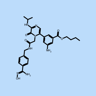 CCCCOC(=O)c1cc(N)cc(-c2cnc(NC(C)C)c(=O)n2CC(=O)NCc2ccc(/C(N)=N/O)cc2)c1